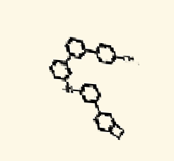 Cc1ccc(-c2cccc(-c3cccc(Nc4cccc(-c5ccc6c(c5)CC6)c4)c3)c2)cc1